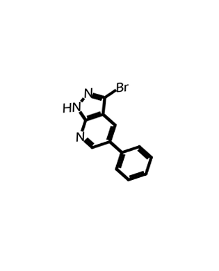 Brc1n[nH]c2ncc(-c3ccccc3)cc12